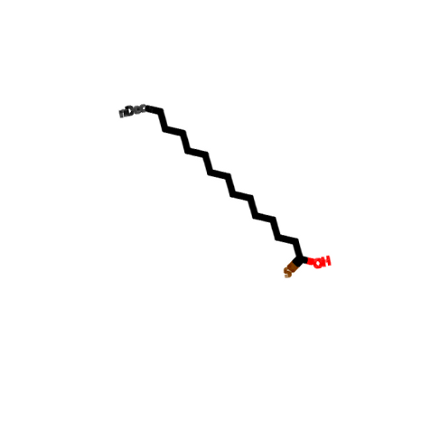 CCCCCCCCCCCCCCCCCCCCCCCC(O)=S